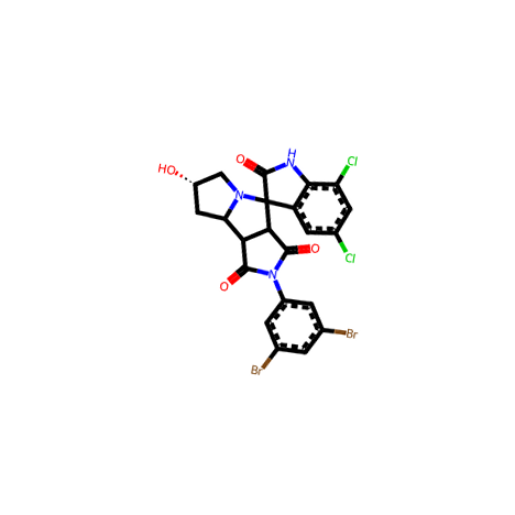 O=C1C2C3C[C@H](O)CN3C3(C(=O)Nc4c(Cl)cc(Cl)cc43)C2C(=O)N1c1cc(Br)cc(Br)c1